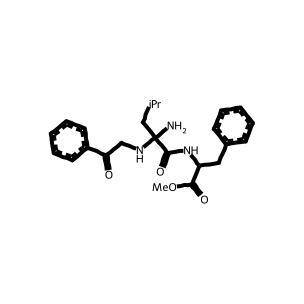 COC(=O)C(Cc1ccccc1)NC(=O)C(N)(CC(C)C)NCC(=O)c1ccccc1